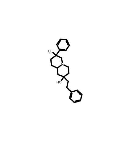 CC1(c2ccccc2)CCC2CC(O)(CCc3ccccc3)CCN2C1